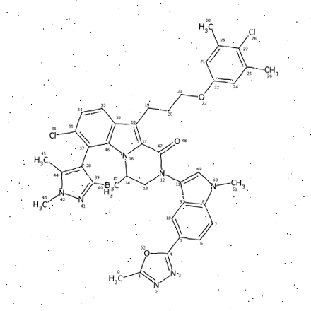 Cc1nnc(-c2ccc3c(c2)c(N2CC(C)n4c(c(CCCOc5cc(C)c(Cl)c(C)c5)c5ccc(Cl)c(-c6c(C)nn(C)c6C)c54)C2=O)cn3C)o1